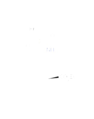 CCOC(=O)[C@H]1CCCC[C@@H]1NS(=O)(=O)CC